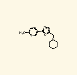 Cc1ccc(-c2nnc(CN3CCCCC3)o2)cc1